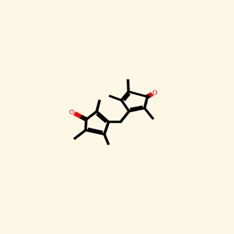 CC1=C(C)C(CC2=C(C)C(=O)C(C)=C2C)=C(C)C1=O